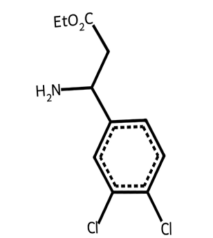 CCOC(=O)CC(N)c1ccc(Cl)c(Cl)c1